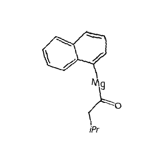 CC(C)C[C](=O)[Mg][c]1cccc2ccccc12